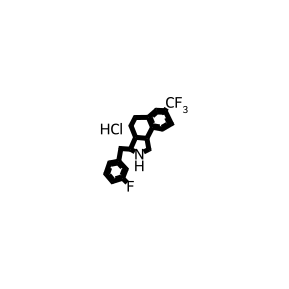 Cl.Fc1cccc(CC2NCC3c4ccc(C(F)(F)F)cc4CCC23)c1